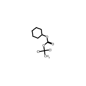 CC(Cl)(Cl)OC(=O)OC1CCCCC1